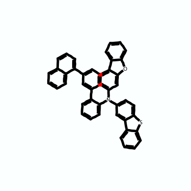 c1cc(-c2ccccc2N(c2ccc3c(c2)oc2ccccc23)c2ccc3sc4ccccc4c3c2)cc(-c2cccc3ccccc23)c1